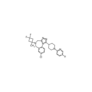 CC1(N2Cc3cc(Cl)ccc3-n3c(nnc3C3CCN(c4ccc(F)cn4)CC3)C2)CC(F)(F)C1